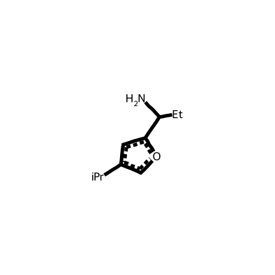 CCC(N)c1cc(C(C)C)co1